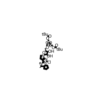 C[C@H](c1ccccc1)N(C)c1nc(Cl)nc2c1ccn2[C@@H]1O[C@H](COCP(=O)(OCOC(=O)C(C)(C)C)OCOC(=O)C(C)(C)C)[C@@H](O)[C@H]1O